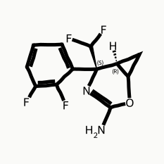 NC1=N[C@@](c2cccc(F)c2F)(C(F)F)[C@H]2CC2O1